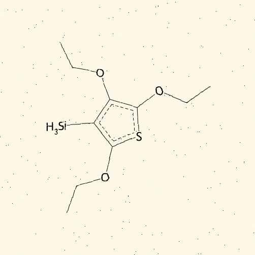 CCOc1sc(OCC)c(OCC)c1[SiH3]